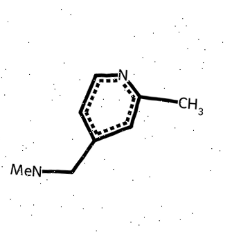 CNCc1ccnc(C)c1